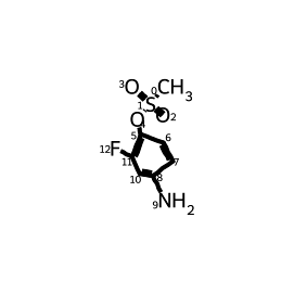 CS(=O)(=O)Oc1ccc(N)cc1F